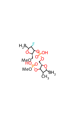 B[C@@H]1O[C@H](COP(=O)(O)OC2[C@@H](COC)O[C@@H](B)[C@H]2F)C(OP(=O)(O)OC)[C@@H]1C